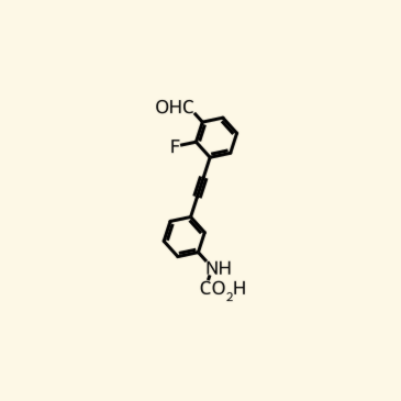 O=Cc1cccc(C#Cc2cccc(NC(=O)O)c2)c1F